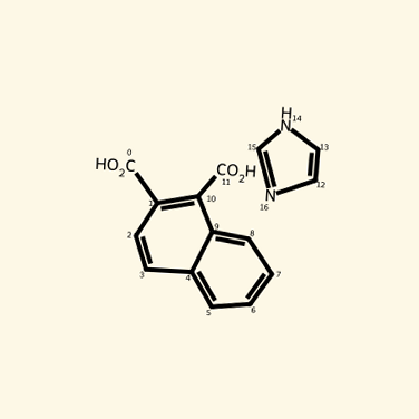 O=C(O)c1ccc2ccccc2c1C(=O)O.c1c[nH]cn1